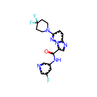 O=C(Nc1cncc(F)c1)c1cnc2ccc(N3CCC(F)(F)CC3)nn12